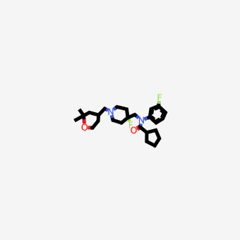 CC1(C)CC(CN2CCC(F)(CN(C(=O)C3CCCC3)c3cccc(F)c3)CC2)CCO1